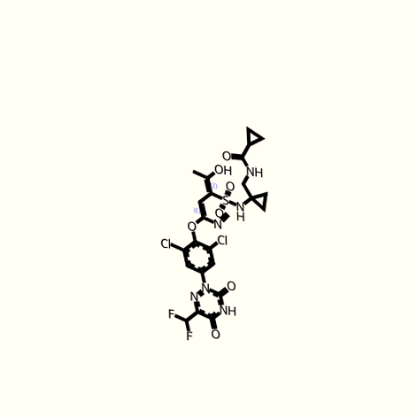 C=N/C(=C\C(=C(/C)O)S(=O)(=O)NC1(CNC(=O)C2CC2)CC1)Oc1c(Cl)cc(-n2nc(C(F)F)c(=O)[nH]c2=O)cc1Cl